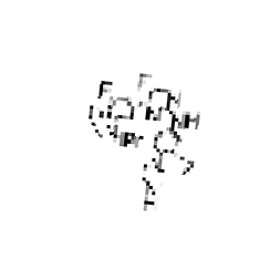 CC(C)N1CCOc2c(F)cc(-c3nc(Nc4ccc(N5CCNCC5)c(C5CC5)c4)ncc3F)cc21